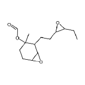 CCC1OC1CCC1C2OC2CCC1(C)OC=O